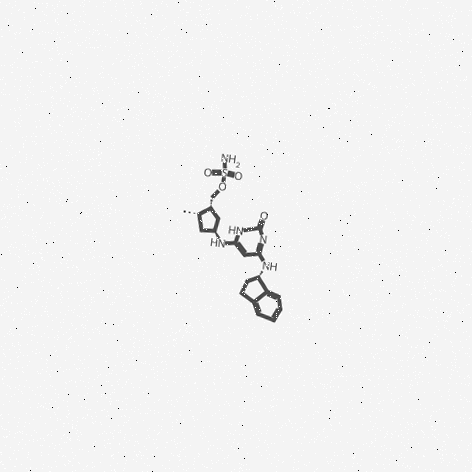 C[C@H]1C[C@H](Nc2cc(N[C@H]3CCc4ccccc43)nc(=O)[nH]2)C[C@H]1COS(N)(=O)=O